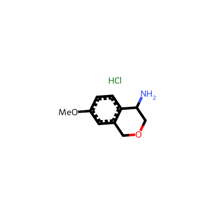 COc1ccc2c(c1)COCC2N.Cl